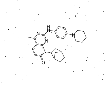 Cc1nc(Nc2ccc(N3CCCCC3)cc2)nc2c1ccc(=O)n2C1CC2CCC1C2